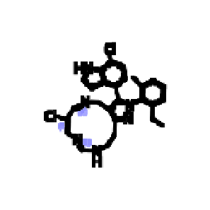 CCc1cccc(C)c1-n1nc2c(c1-c1ccc(Cl)c3[nH]ccc13)C\N=C/C(Cl)=C\N=C\NCC2